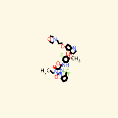 C=CCn1c(=O)c(C(=O)Nc2ccc(OC3(OC)CC=Nc4ccc(OCCCN5CCOCC5)cc43)c(F)c2)nn(-c2ccccc2C(F)(F)F)c1=O